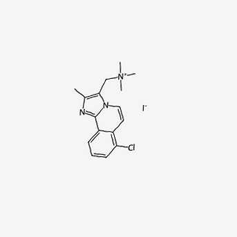 Cc1nc2c3cccc(Cl)c3ccn2c1C[N+](C)(C)C.[I-]